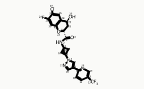 O=C(NC12CC(n3cc(-c4ccc(C(F)(F)F)cn4)cn3)(C1)C2)[C@H]1C[C@H](O)c2cc(Cl)c(F)cc2O1